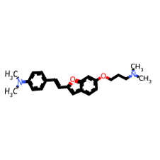 CN(C)CCCOc1ccc2cc(C=Cc3ccc(N(C)C)cc3)oc2c1